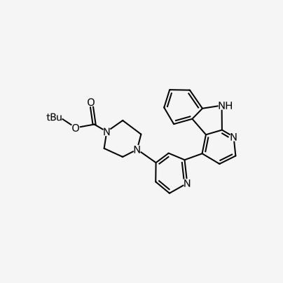 CC(C)(C)OC(=O)N1CCN(c2ccnc(-c3ccnc4[nH]c5ccccc5c34)c2)CC1